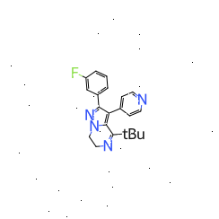 CC(C)(C)C1=NCCn2nc(-c3cccc(F)c3)c(-c3ccncc3)c21